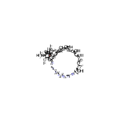 C[C@@H]1[C@H](O)[C@@H](C)/C=C/C=C/C=C/C=C/C=C/C=C/C=C/[C@H](O[C@@H]2O[C@H](C)[C@@H](O)[C@H](N)[C@@H]2O)C[C@@H]2O[C@](O)(C[C@@H](O)C[C@@H](O)[C@H](O)CC[C@@H](O)C[C@@H](O)CC(=O)O[C@H]1C)C[C@H](O)[C@H]2C(=O)NN